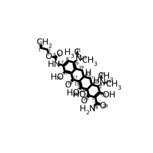 C=CCOC(=O)Nc1cc(N(C)C)c2c(c1O)C(=O)C1=C(O)[C@]3(O)C(=O)C(C(N)=O)=C(O)[C@@H](N(C)C)[C@@H]3C[C@@H]1C2